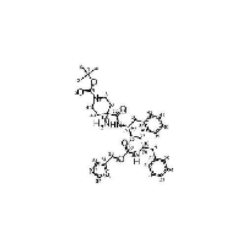 CC(C)(C)OC(=O)N1CCC(N)(C(=O)N[C@H](CC[C@H](Cc2ccccc2)NC(=O)OCc2cncs2)Cc2ccccc2)CC1